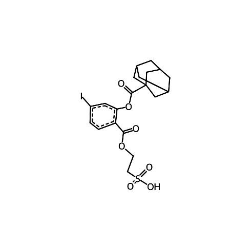 O=C(OCCS(=O)(=O)O)c1ccc(I)cc1OC(=O)C12CC3CC(CC(C3)C1)C2